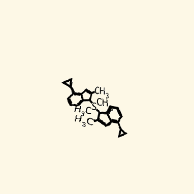 CC1=Cc2c(C3CC3)cccc2C1S(C)(C)C1C(C)=Cc2c(C3CC3)cccc21